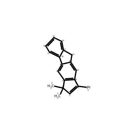 CC(C)C1=CC(C)(C)c2cc3c(cc21)Cc1ccccc1-3